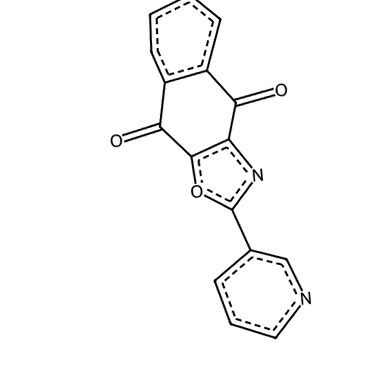 O=C1c2ccccc2C(=O)c2oc(-c3cccnc3)nc21